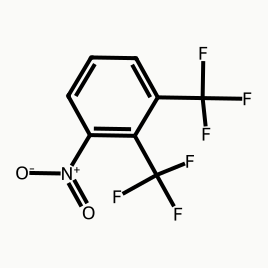 O=[N+]([O-])c1cccc(C(F)(F)F)c1C(F)(F)F